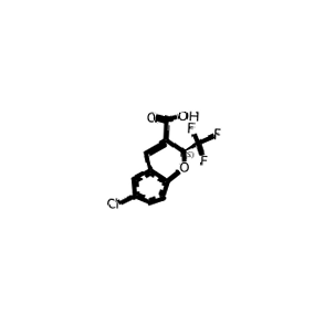 O=C(O)C1=Cc2cc(Cl)ccc2O[C@@H]1C(F)(F)F